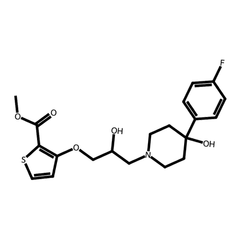 COC(=O)c1sccc1OCC(O)CN1CCC(O)(c2ccc(F)cc2)CC1